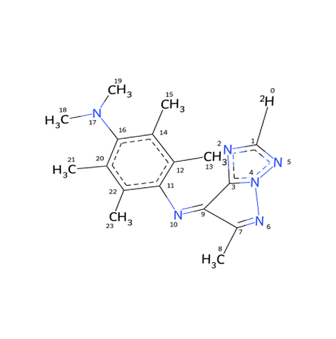 [2H]c1nc2n(n1)N=C(C)C2=Nc1c(C)c(C)c(N(C)C)c(C)c1C